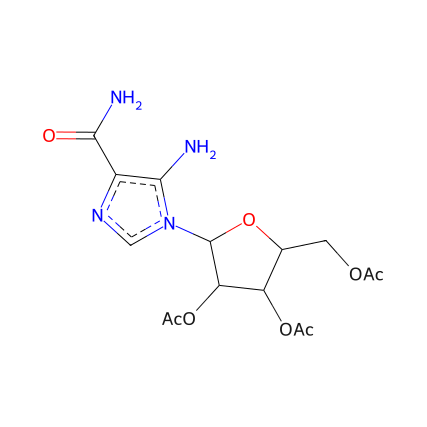 CC(=O)OCC1OC(n2cnc(C(N)=O)c2N)C(OC(C)=O)C1OC(C)=O